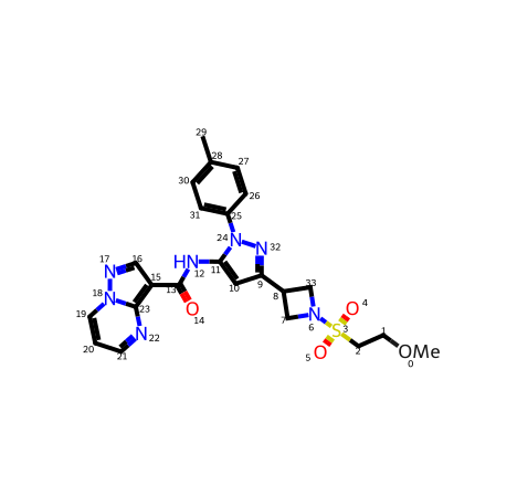 COCCS(=O)(=O)N1CC(c2cc(NC(=O)c3cnn4cccnc34)n(-c3ccc(C)cc3)n2)C1